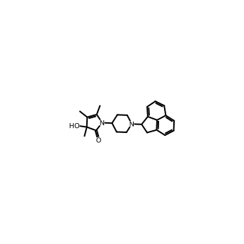 CC1=C(C)C(C)(O)C(=O)N1C1CCN(C2Cc3cccc4cccc2c34)CC1